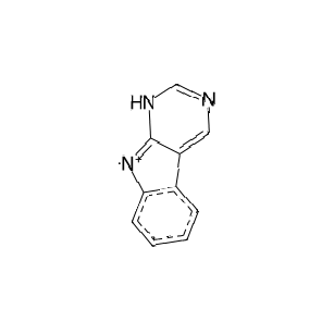 C1=NC=C2C(=[N+]c3ccccc32)N1